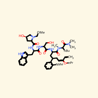 C=C/C(=C\CC(CC(NC(=O)C(CO)NC(=O)C(Cc1c[nH]c2ccccc12)NC(=O)C1C[C@@H](O)CN1COC)C(=O)N(C)C(CCCC)C(=O)N(C)C)c1ccccc1NC)OCCC